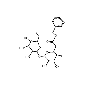 O=C(CC1OC(OC2OC(CI)[C@H](O)C(O)C2O)C(O)C(O)C1O)OCc1ccccc1